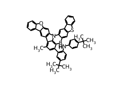 Cc1cc(-c2cc(C(C)(C)C)ccc2Nc2ccc(C(C)(C)C)cc2)c2c3c1c1cc4c(cc1n3-c1cc3c(cc1B2)sc1ccccc13)oc1ccccc14